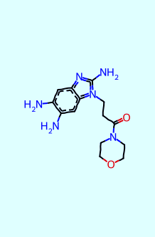 Nc1cc2nc(N)n(CCC(=O)N3CCOCC3)c2cc1N